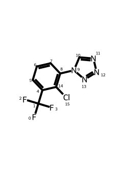 FC(F)(F)c1cccc(-n2cnnn2)c1Cl